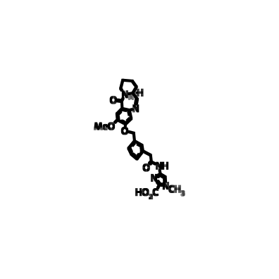 COc1cc2c(cc1OCc1cccc(CC(=O)Nc3cn(C)c(C(=O)O)n3)c1)N=C[C@@H]1CCCCN1C2=O